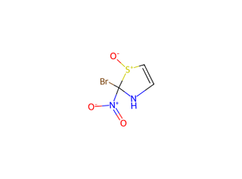 O=[N+]([O-])C1(Br)NC=C[S+]1[O-]